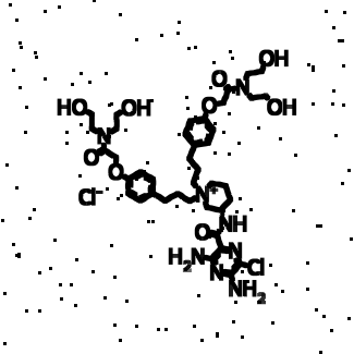 Nc1nc(N)c(C(=O)N[C@H]2CCC[N+](CCCc3ccc(OCC(=O)N(CCO)CCO)cc3)(CCCc3ccc(OCC(=O)N(CCO)CCO)cc3)C2)nc1Cl.[Cl-]